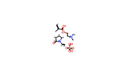 C=C(C)C(=O)OCCN(C)C.C=CN1CCCC1=O.O=S(=O)(O)O